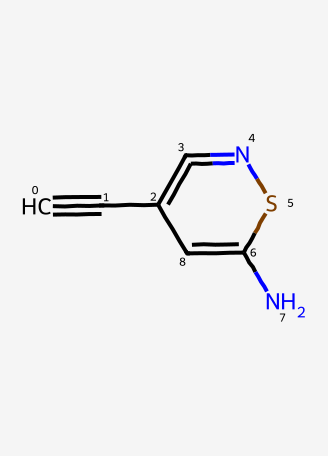 C#CC1=C=NSC(N)=C1